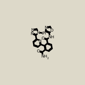 CC(C)n1cnnc1-c1cccc(-c2c(C(N)=O)cccc2C(=O)Nc2cnco2)n1